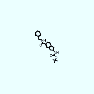 CC(C)(C)OC(=O)NC1Cc2ccc(C(=O)NCc3ccccc3)cc2C1